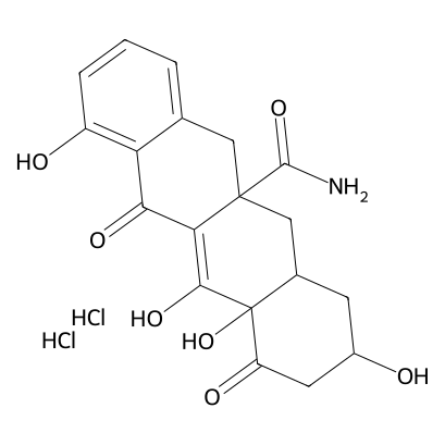 Cl.Cl.NC(=O)C12Cc3cccc(O)c3C(=O)C1=C(O)C1(O)C(=O)CC(O)CC1C2